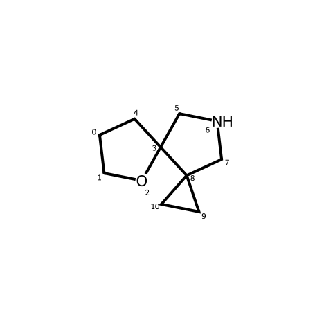 C1COC2(C1)CNCC21CC1